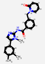 Cc1ccc(-c2cnc(NC(=O)c3cccc(Cn4ccccc4=O)c3)n2C)cc1C